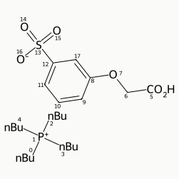 CCCC[P+](CCCC)(CCCC)CCCC.O=C(O)COc1cccc(S(=O)(=O)[O-])c1